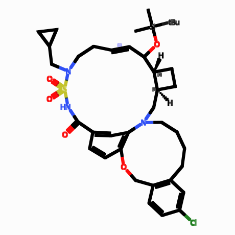 CC(C)(C)[Si](C)(C)OC1/C=C/CCN(CC2CC2)S(=O)(=O)NC(=O)c2ccc3c(c2)N(CCCCc2cc(Cl)ccc2CO3)C[C@@H]2CC[C@@H]12